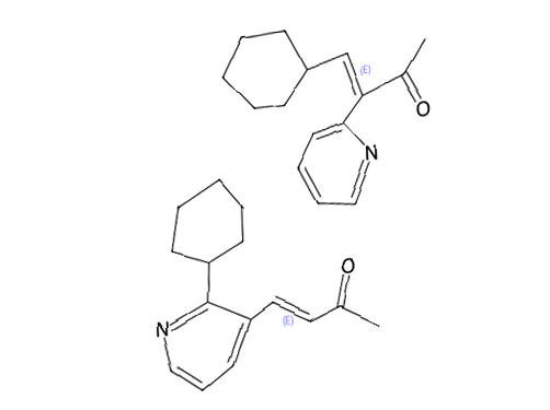 CC(=O)/C(=C/C1CCCCC1)c1ccccn1.CC(=O)/C=C/c1cccnc1C1CCCCC1